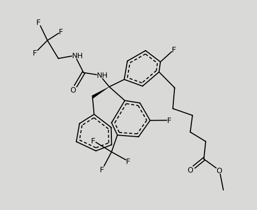 COC(=O)CCCCCc1cc([C@@](Cc2ccccc2)(NC(=O)NCC(F)(F)F)c2cc(F)cc(C(F)(F)F)c2)ccc1F